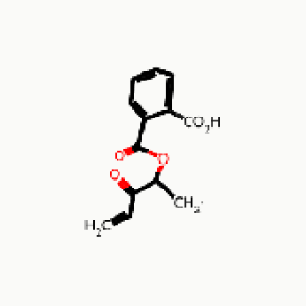 [CH2]C(OC(=O)c1ccccc1C(=O)O)C(=O)C=C